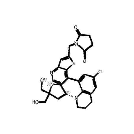 O=C1CCC(=O)N1Cc1cc2nccc(-c3cc(Cl)cc4c3N([C@H]3CNC(CO)(CO)C3)CCC4)c2s1